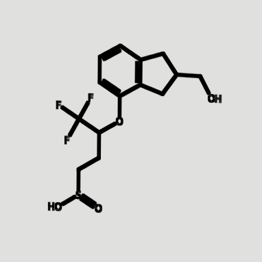 O=S(O)CCC(Oc1cccc2c1CC(CO)C2)C(F)(F)F